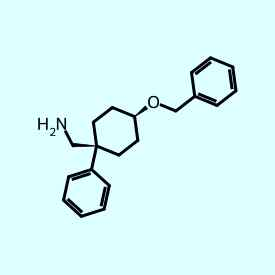 NC[C@]1(c2ccccc2)CC[C@H](OCc2ccccc2)CC1